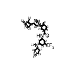 Cc1ccc(C(=O)Nc2cc(N(C)C3CCN(C)C3)cc(C(F)(F)F)c2)cc1-n1cc(-c2cnn(C)c2C)nn1